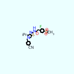 CC(C)[C@H]1c2nc(NC(=O)Cc3ccc(S(C)(=O)=O)cc3F)sc2CN1Cc1ccc(C#N)cc1